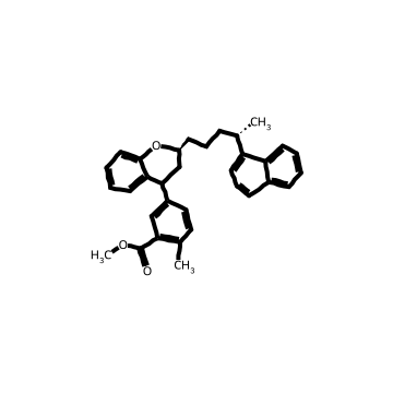 COC(=O)c1cc(C2C[C@H](CCC[C@H](C)c3cccc4ccccc34)Oc3ccccc32)ccc1C